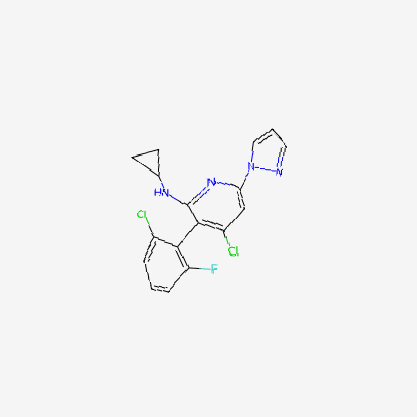 Fc1cccc(Cl)c1-c1c(Cl)cc(-n2cccn2)nc1NC1CC1